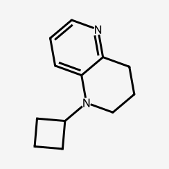 c1cnc2c(c1)N(C1CCC1)CCC2